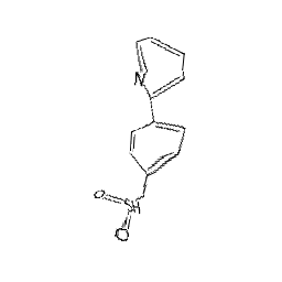 O=[SH](=O)Cc1ccc(-c2ccccn2)cc1